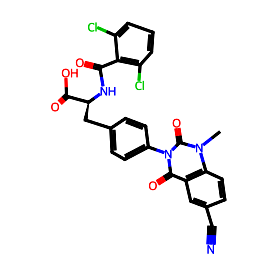 Cn1c(=O)n(-c2ccc(C[C@H](NC(=O)c3c(Cl)cccc3Cl)C(=O)O)cc2)c(=O)c2cc(C#N)ccc21